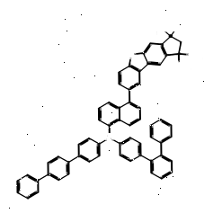 CC1(C)CC(C)(C)c2cc3c(cc21)oc1ccc(-c2cccc4c(N(c5ccc(-c6ccc(-c7ccccc7)cc6)cc5)c5ccc(-c6ccccc6-c6ccccc6)cc5)cccc24)cc13